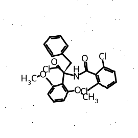 COc1cccc(OC)c1[C@@](Cc1ccccc1)(NC(=O)c1c(Cl)cccc1Cl)C(=O)Cl